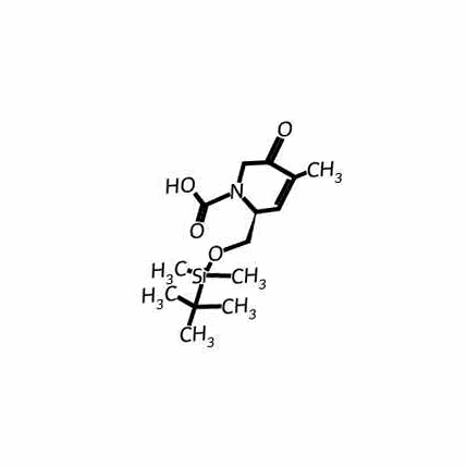 CC1=C[C@@H](CO[Si](C)(C)C(C)(C)C)N(C(=O)O)CC1=O